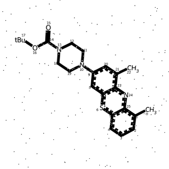 Cc1cccc2[s+]c3cc(N4CCN(C(=O)OC(C)(C)C)CC4)cc(C)c3nc12